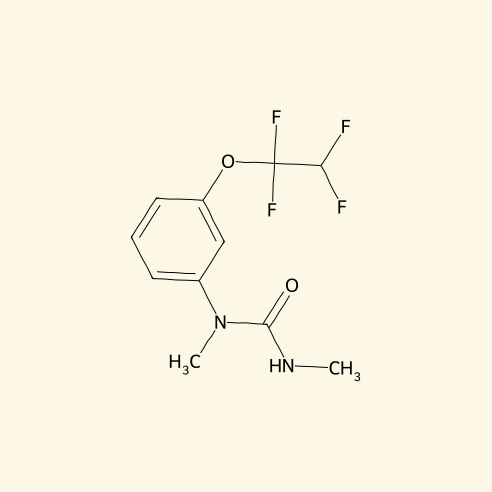 CNC(=O)N(C)c1cccc(OC(F)(F)C(F)F)c1